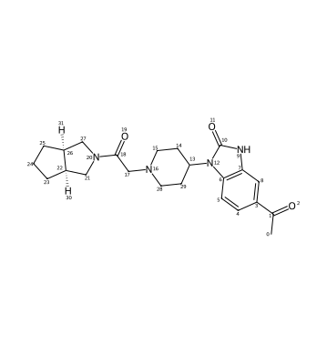 CC(=O)c1ccc2c(c1)[nH]c(=O)n2C1CCN(CC(=O)N2C[C@H]3CCC[C@H]3C2)CC1